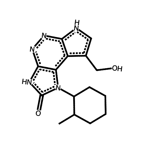 CC1CCCCC1n1c(=O)[nH]c2nnc3[nH]cc(CO)c3c21